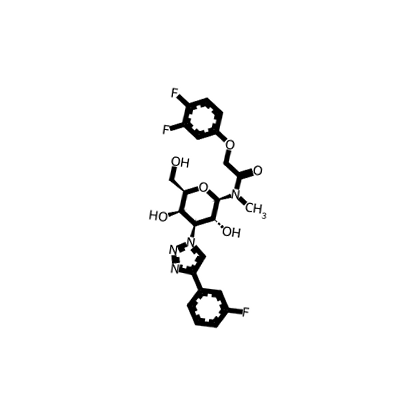 CN(C(=O)COc1ccc(F)c(F)c1)[C@@H]1O[C@H](CO)[C@H](O)[C@H](n2cc(-c3cccc(F)c3)nn2)[C@H]1O